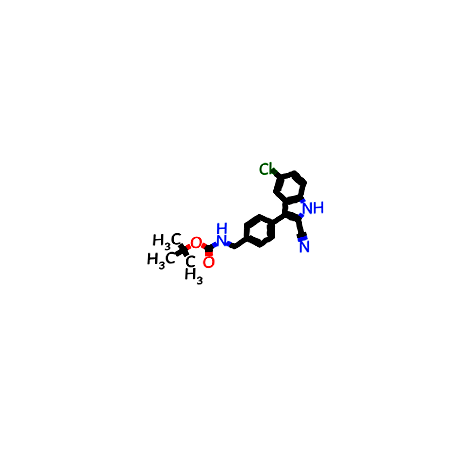 CC(C)(C)OC(=O)NCc1ccc(-c2c(C#N)[nH]c3ccc(Cl)cc23)cc1